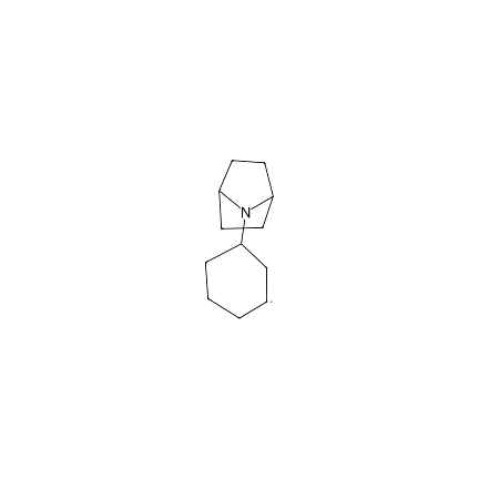 [CH]1CCCC(N2C3CCC2CC3)C1